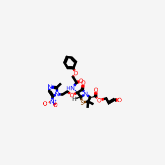 Cc1ncc([N+](=O)[O-])n1CCO[C@@]1(NC(=O)COc2ccccc2)C(=O)N2[C@@H](C(=O)OCC=C=O)C(C)(C)S[C@@H]21